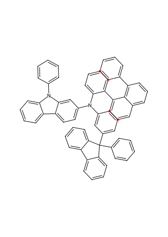 c1ccc(-c2cccc3cccc(-c4ccccc4N(c4cccc(C5(c6ccccc6)c6ccccc6-c6ccccc65)c4)c4ccc5c6ccccc6n(-c6ccccc6)c5c4)c23)cc1